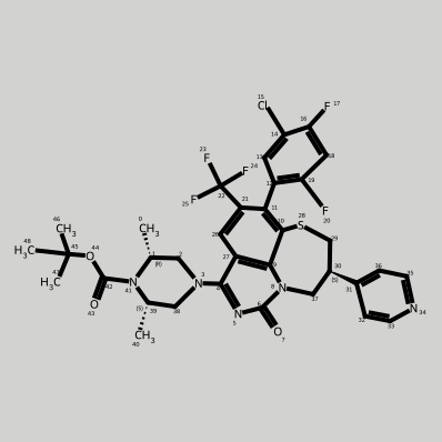 C[C@@H]1CN(c2nc(=O)n3c4c(c(-c5cc(Cl)c(F)cc5F)c(C(F)(F)F)cc24)SC[C@@H](c2ccncc2)C3)C[C@H](C)N1C(=O)OC(C)(C)C